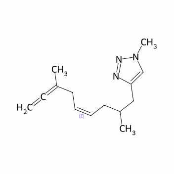 C=C=C(C)C/C=C\CC(C)Cc1cn(C)nn1